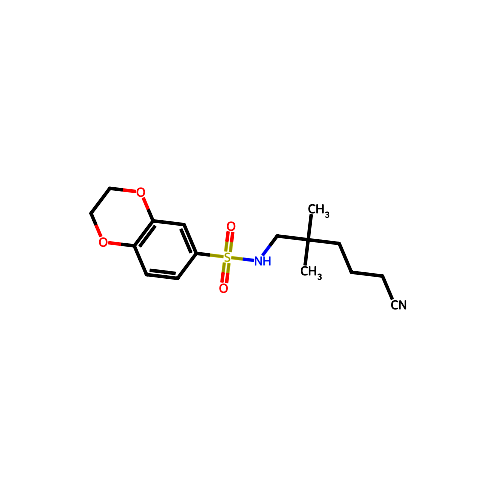 CC(C)(CCCC#N)CNS(=O)(=O)c1ccc2c(c1)OCCO2